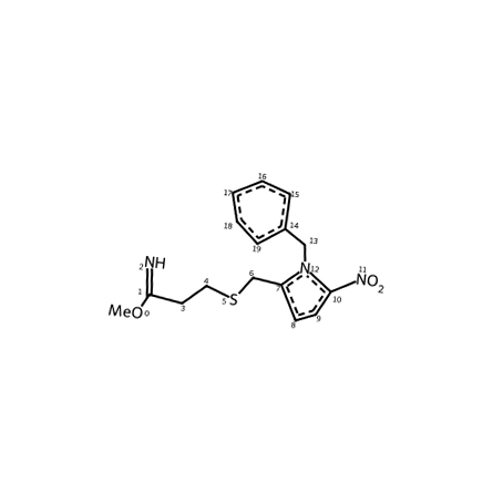 COC(=N)CCSCc1ccc([N+](=O)[O-])n1Cc1ccccc1